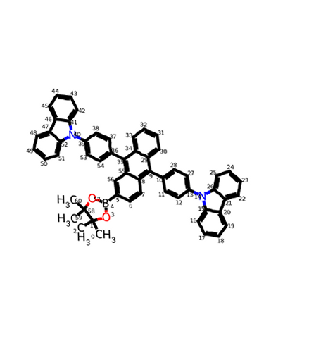 CC1(C)OB(c2ccc3c(-c4ccc(-n5c6ccccc6c6ccccc65)cc4)c4ccccc4c(-c4ccc(-n5c6ccccc6c6ccccc65)cc4)c3c2)OC1(C)C